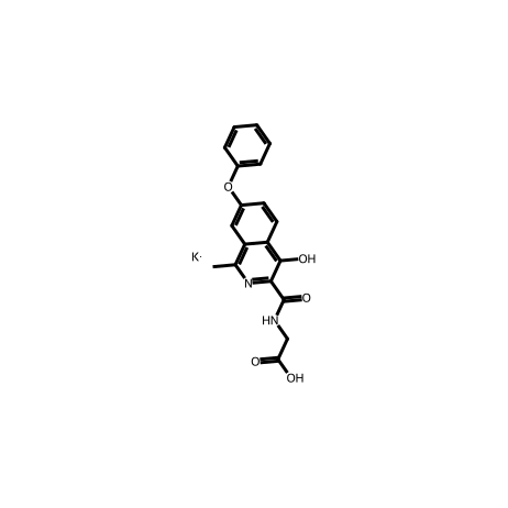 Cc1nc(C(=O)NCC(=O)O)c(O)c2ccc(Oc3ccccc3)cc12.[K]